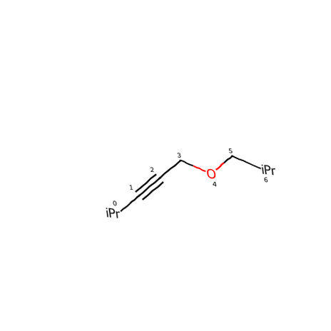 CC(C)C#CCOCC(C)C